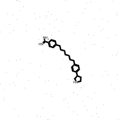 N=C(N)c1ccc(CCCCCCCc2ccc(C3CCNC3)cc2)cc1